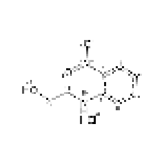 Cl.O=[N+]([O-])c1ccccc1NCCO